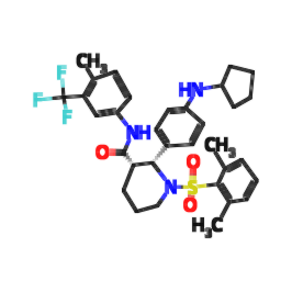 Cc1ccc(NC(=O)[C@H]2CCCN(S(=O)(=O)c3c(C)cccc3C)[C@H]2c2ccc(NC3CCCC3)cc2)cc1C(F)(F)F